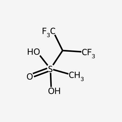 CS(=O)(O)(O)C(C(F)(F)F)C(F)(F)F